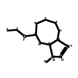 CCOC1CCCCC2N=NN(C)C2C1